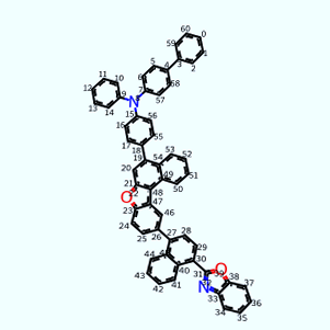 c1ccc(-c2ccc(N(c3ccccc3)c3ccc(-c4cc5oc6ccc(-c7ccc(-c8nc9ccccc9o8)c8ccccc78)cc6c5c5ccccc45)cc3)cc2)cc1